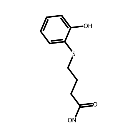 O=NC(=O)CCCSc1ccccc1O